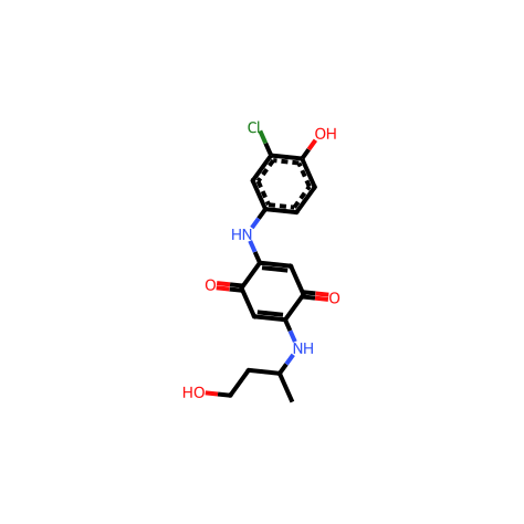 CC(CCO)NC1=CC(=O)C(Nc2ccc(O)c(Cl)c2)=CC1=O